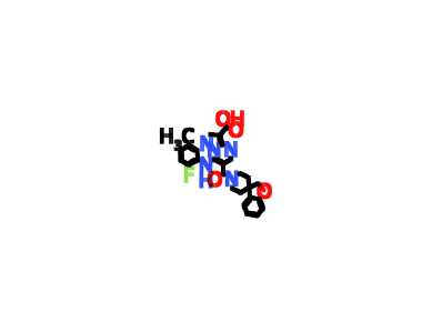 Cc1ccc(F)c(Nc2c(C(=O)N3CCC4(CC3)COc3ccccc34)cnc3c(C(=O)O)cnn23)c1